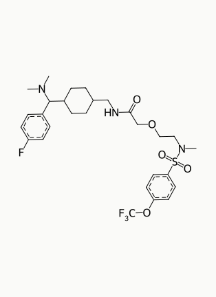 CN(C)C(c1ccc(F)cc1)C1CCC(CNC(=O)COCCN(C)S(=O)(=O)c2ccc(OC(F)(F)F)cc2)CC1